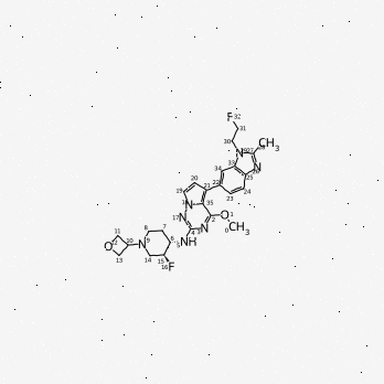 COc1nc(N[C@H]2CCN(C3COC3)C[C@@H]2F)nn2ccc(-c3ccc4nc(C)n(CCF)c4c3)c12